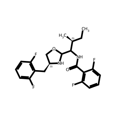 CC[C@H](C)C(NC(=O)c1c(F)cccc1F)C1N[C@@H](Cc2c(F)cccc2F)CO1